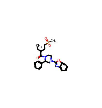 CCC(CCS(C)(=O)=O)C(=O)N1CCN(c2nc3ccccc3o2)CC1c1ccccc1